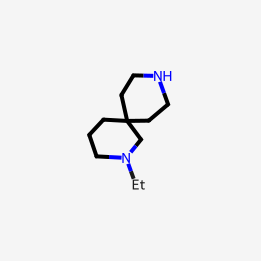 CCN1CCCC2(CCNCC2)C1